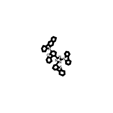 c1ccc2cc3c(cc2c1)c1ccccc1n3-c1ccc(-c2nc(-c3cccc4c3sc3ccccc34)nc(-n3c4ccccc4c4ccccc43)n2)c2c1oc1ccccc12